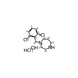 Cl.Cl.Clc1cccc(Cl)c1CN1CCCNCC1